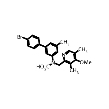 COc1c(C)cnc(CN(C(=O)O)c2cc(C)cc(-c3ccc(Br)cc3)c2)c1C